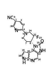 N#Cc1ccc(N2CC[C@@H](n3c(=O)[nH]c4cnc5[nH]ccc5c43)[C@@H](F)C2)nc1